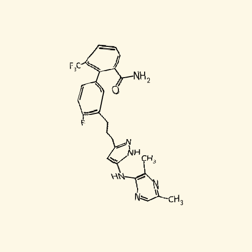 Cc1cnc(Nc2cc(CCc3cc(-c4c(C(N)=O)cccc4C(F)(F)F)ccc3F)n[nH]2)c(C)n1